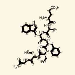 CC(C)C[C@H](NC(=O)[C@H](Cc1ccccc1)NC(=O)[C@H](Cc1c[nH]c2ccccc12)NC(=O)[C@@H](NC(=O)[C@@H](N)CCC(=O)O)C(C)C)C(=O)N[C@@H](CS)C(=O)NCC(N)=O